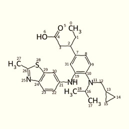 CCC(CC(=O)O)c1ccc(N(CC2CC2)C(C)C)c(Nc2ccc3nc(C)sc3c2)c1